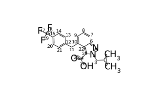 CC(C)Cn1nc2cccc(Cc3ccc(C(F)(F)F)cc3)c2c1C(=O)O